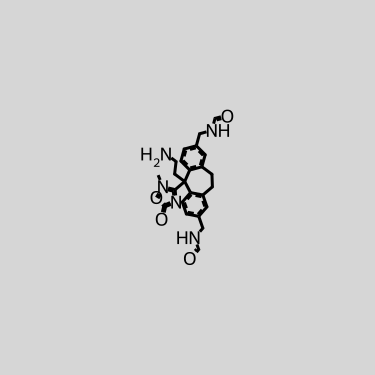 Cn1oc(=O)nc1C1(CCN)c2ccc(CNC=O)cc2CCc2cc(CNC=O)ccc21